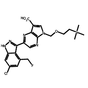 C[Si](C)(C)CCOCn1cc(C(=O)O)c2nc(-c3n[nH]c4cc(Cl)cc(CF)c34)cnc21